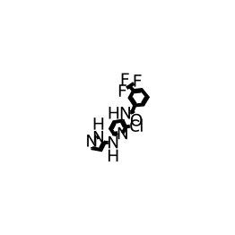 O=C(Nc1ccc(Nc2ccn[nH]2)nc1Cl)c1cccc(C(F)(F)F)c1